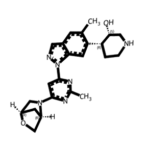 Cc1nc(N2C[C@H]3C[C@@H]2CO3)cc(-n2ncc3cc(C)c([C@H]4CCNC[C@H]4O)cc32)n1